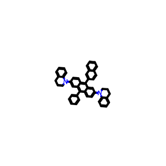 c1ccc(-c2c3ccc(N4CCCc5ccccc54)cc3c(-c3ccc4ccccc4c3)c3ccc(N4CCCc5ccccc54)cc23)cc1